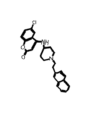 O=c1cc(NC2CCN(CCc3ccc4ccccc4c3)CC2)c2cc(Cl)ccc2o1